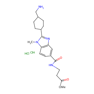 COC(=O)CCNC(=O)c1ccc2c(c1)nc(C1CCC(CN)CC1)n2C.Cl.Cl